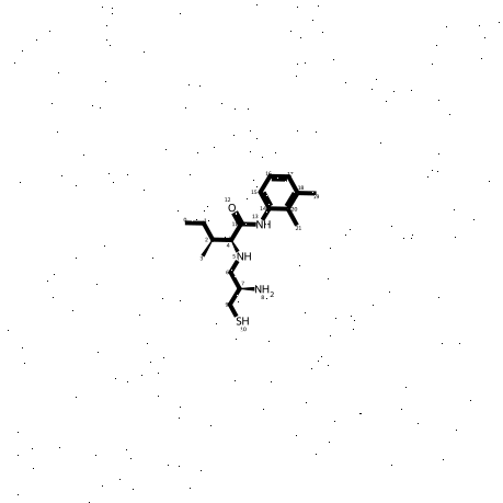 CC[C@H](C)[C@H](NC[C@@H](N)CS)C(=O)Nc1cccc(C)c1C